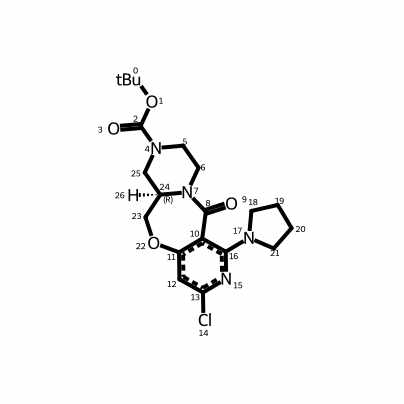 CC(C)(C)OC(=O)N1CCN2C(=O)c3c(cc(Cl)nc3N3CCCC3)OC[C@H]2C1